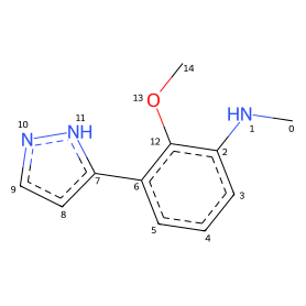 CNc1cccc(-c2ccn[nH]2)c1OC